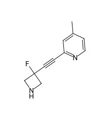 Cc1ccnc(C#CC2(F)CNC2)c1